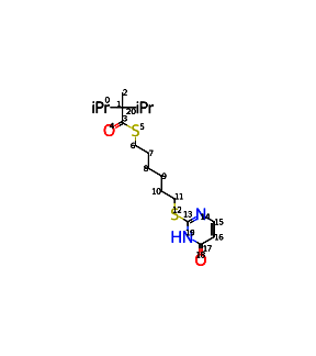 CC(C)C(C)(C(=O)SCCCCCCSc1nccc(=O)[nH]1)C(C)C